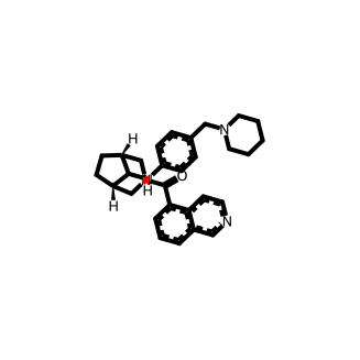 O=C(c1cccc2cnccc12)N1C[C@H]2CC[C@@H](C1)C2Nc1ccc(CN2CCCCC2)cc1